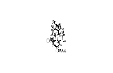 CCc1cc(OC)cc2c1[C@H]1CC[C@]3(C)C(=O)C=C[C@H]3[C@@H]1CC2